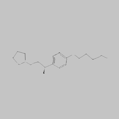 O[C@H]1CCN(CC[C@H](O)c2ccc(OCCCCF)cc2)C1